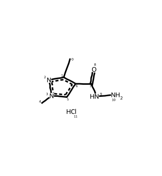 Cc1nn(C)cc1C(=O)NN.Cl